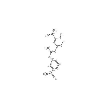 BN(CC(=C/C)/C=C(\C=C)C(N)=O)Cc1cccc(C(N)=O)c1